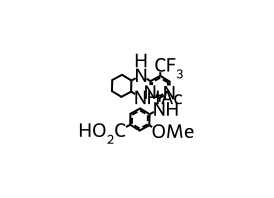 COc1cc(C(=O)O)ccc1Nc1ncc(C(F)(F)F)c(NC2CCCCC2NC(C)=O)n1